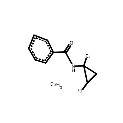 O=C(NC1(Cl)CC1Cl)c1ccccc1.[CaH2]